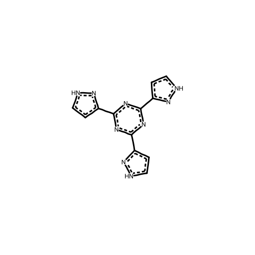 c1cc(-c2nc(-c3cc[nH]n3)nc(-c3cc[nH]n3)n2)n[nH]1